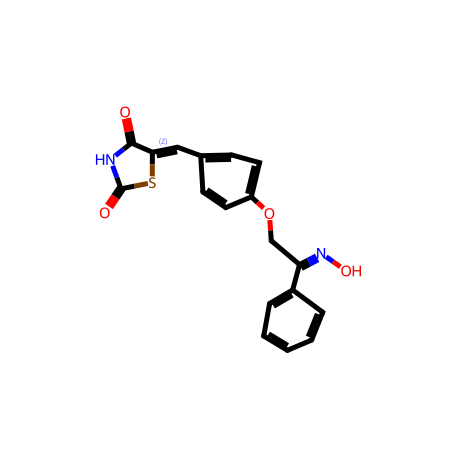 O=C1NC(=O)/C(=C/c2ccc(OCC(=NO)c3ccccc3)cc2)S1